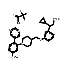 COc1ccc(-c2cncnc2)c(N2CCC(COc3cccc(C(CC(=O)O)C4CC4)c3)CC2)c1.O=C(O)C(F)(F)F